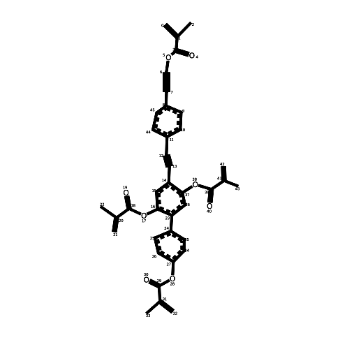 C=C(C)C(=O)OC#Cc1ccc(C#Cc2cc(OC(=O)C(=C)C)c(-c3ccc(OC(=O)C(=C)C)cc3)cc2OC(=O)C(=C)C)cc1